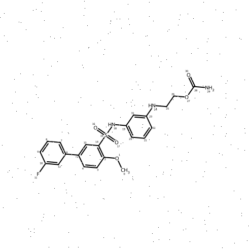 COc1ccc(-c2cccc(F)c2)cc1S(=O)(=O)Nc1cccc(NCCOC(N)=O)c1